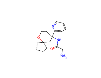 NCC(=O)NC1(c2ccccn2)CCOC2(CCCC2)C1